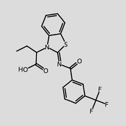 CCC(C(=O)O)n1/c(=N/C(=O)c2cccc(C(F)(F)F)c2)sc2ccccc21